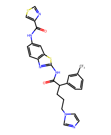 O=C(Nc1ccc2nc(NC(=O)C(CCCn3ccnc3)c3cccc(C(F)(F)F)c3)sc2c1)c1cscn1